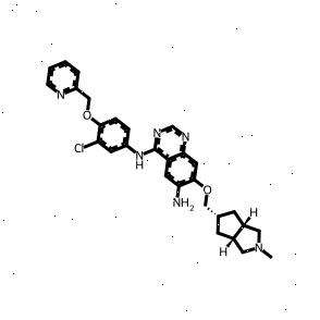 CN1C[C@H]2C[C@@H](COc3cc4ncnc(Nc5ccc(OCc6ccccn6)c(Cl)c5)c4cc3N)C[C@H]2C1